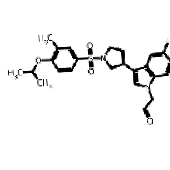 Cc1cc(S(=O)(=O)N2CCC(c3cn(CC=O)c4ccc(I)cc34)C2)ccc1OC(C)C